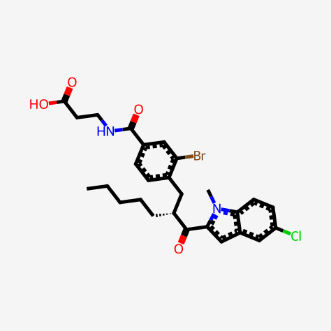 CCCCC[C@H](Cc1ccc(C(=O)NCCC(=O)O)cc1Br)C(=O)c1cc2cc(Cl)ccc2n1C